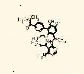 C=Cc1nn(C(C)c2cc(Cl)c(C)c(-c3ccc(C(=O)N(C)C)nc3)c2OCC)c2ncnc(N)c12